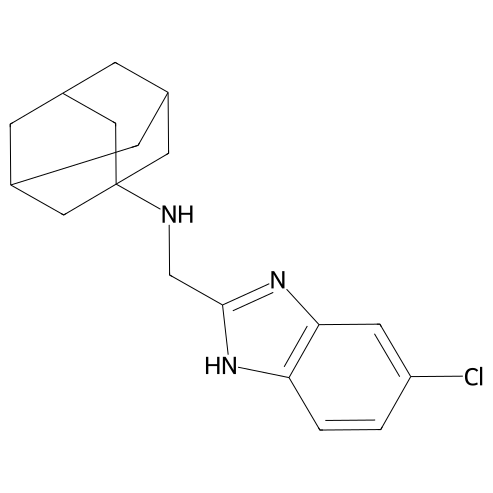 Clc1ccc2[nH]c(CNC34CC5CC(CC(C5)C3)C4)nc2c1